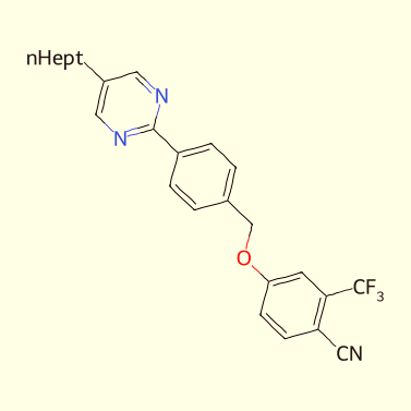 CCCCCCCc1cnc(-c2ccc(COc3ccc(C#N)c(C(F)(F)F)c3)cc2)nc1